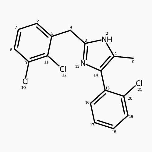 Cc1[nH]c(Cc2cccc(Cl)c2Cl)nc1-c1ccccc1Cl